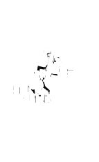 CCn1c([N+](=O)[O-])cnc1C1=CSNN1N